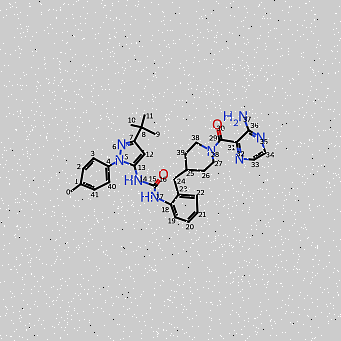 Cc1ccc(-n2nc(C(C)(C)C)cc2NC(=O)Nc2ccccc2CC2CCN(C(=O)c3nccnc3N)CC2)cc1